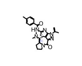 C=C(C)n1nc(C(=O)N2CCC/C2=C\N(C)C)c2sc(NC(=O)c3ccc(C)cc3)nc21